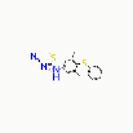 CS/C(=N\C#N)Nc1cc(C)c(Sc2ccccc2)c(C)c1